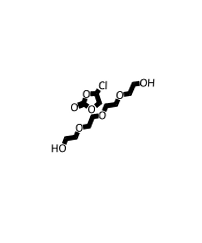 O=C1OCC(Cl)O1.OCCOCCOCCOCCO